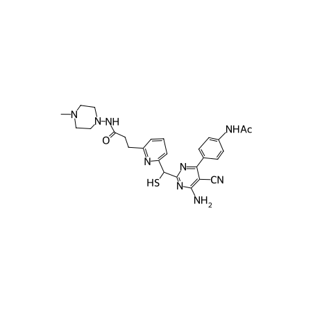 CC(=O)Nc1ccc(-c2nc(C(S)c3cccc(CCC(=O)NN4CCN(C)CC4)n3)nc(N)c2C#N)cc1